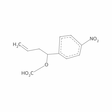 C=CCC(OC(=O)O)c1ccc([N+](=O)[O-])cc1